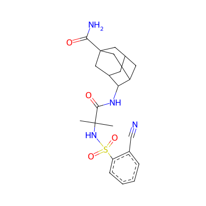 CC(C)(NS(=O)(=O)c1ccccc1C#N)C(=O)NC1C2CC3CC1CC(C(N)=O)(C3)C2